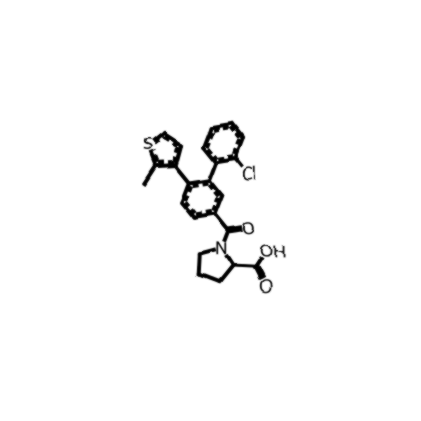 Cc1sccc1-c1ccc(C(=O)N2CCCC2C(=O)O)cc1-c1ccccc1Cl